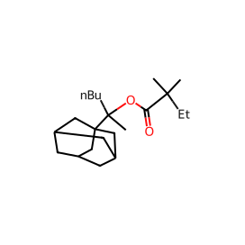 CCCCC(C)(OC(=O)C(C)(C)CC)C12CC3CC(CC(C3)C1)C2